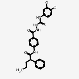 CCCC(C(=O)Nc1ccc(C(=O)NNC(=S)Nc2ccc(Cl)c(Cl)c2)cc1)c1ccccc1